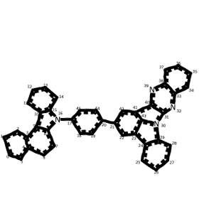 c1ccc2c(c1)ccc1c2c2ccccc2n1-c1ccc(-c2cc3c4ccccc4n4c5nc6ccccc6nc5c(c2)c34)cc1